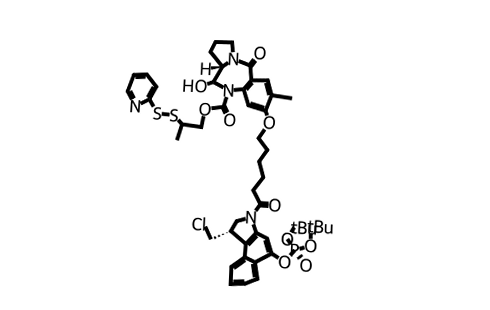 Cc1cc2c(cc1OCCCCCC(=O)N1C[C@@H](CCl)c3c1cc(OP(=O)(OC(C)(C)C)OC(C)(C)C)c1ccccc31)N(C(=O)OCC(C)SSc1ccccn1)C(O)[C@@H]1CCCN1C2=O